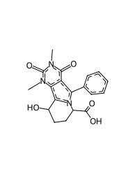 Cn1c(=O)c2c(-c3ccccc3)n3c(c2n(C)c1=O)C(O)CCC3C(=O)O